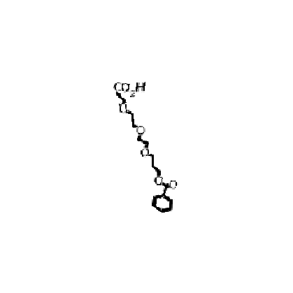 O=C(O)CCOCCOCCOCCCOC(=O)c1ccccc1